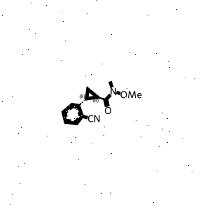 CON(C)C(=O)[C@@H]1C[C@H]1c1ccccc1C#N